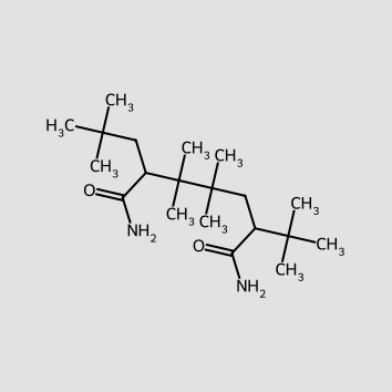 CC(C)(C)CC(C(N)=O)C(C)(C)C(C)(C)CC(C(N)=O)C(C)(C)C